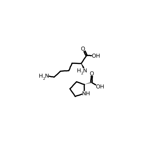 NCCCC[C@H](N)C(=O)O.O=C(O)[C@H]1CCCN1